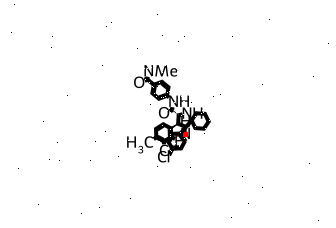 CNC(=O)c1ccc(NC(=O)[C@@H]2NC3(CCCCC3)[C@@]3(CNc4cc(Cl)ccc43)[C@H]2c2ccc(C)c(Cl)c2F)cc1